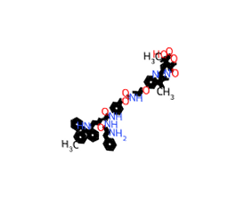 CCc1c2c(nc3ccc(OCCCNC(=O)OCc4ccc(NC(=O)[C@H](CCCCNC(c5ccccc5)(c5ccccc5)c5ccc(C)cc5)NC(=O)[C@@H](N)Cc5ccccc5)cc4)cc13)-c1cc3c(c(=O)n1C2)COC(=O)[C@]3(O)CC